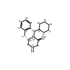 O=C1CNC[C@H](Cc2ccccc2)N1CC1CCCCC1